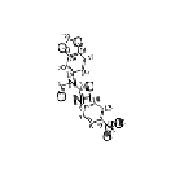 O=CN(C(=O)Nc1ccc([N+](=O)[O-])cc1)c1ccc2c(c1)OCO2